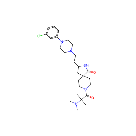 CN(C)C(C)(C)C(=O)N1CCC2(CC1)CC(CCN1CCN(c3cccc(Cl)c3)CC1)NC2=O